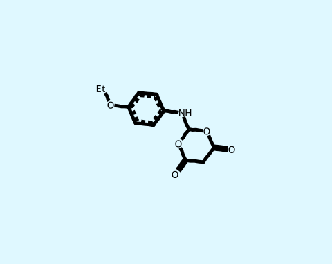 CCOc1ccc(NC2OC(=O)CC(=O)O2)cc1